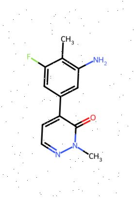 Cc1c(N)cc(-c2ccnn(C)c2=O)cc1F